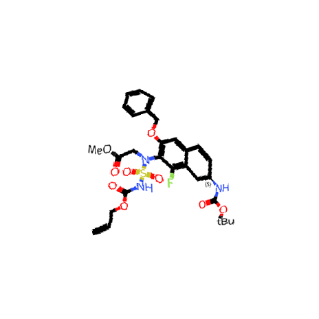 C=CCOC(=O)NS(=O)(=O)N(CC(=O)OC)c1c(OCc2ccccc2)cc2c(c1F)C[C@H](NC(=O)OC(C)(C)C)C=C2